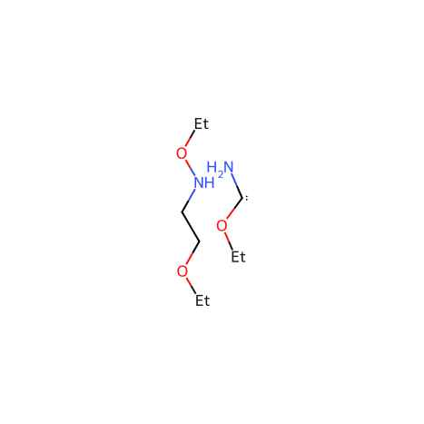 CCOCCNOCC.CCO[C]N